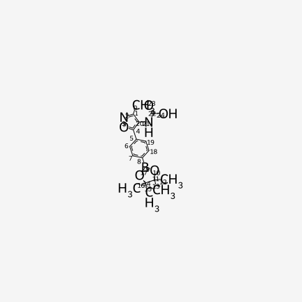 Cc1noc(-c2ccc(B3OC(C)(C)C(C)(C)O3)cc2)c1NC(=O)O